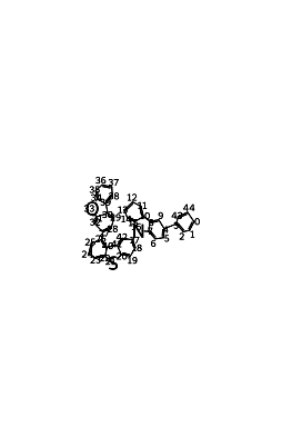 c1ccc(-c2ccc3c(c2)c2ccccc2n3-c2ccc3sc4cccc(-c5ccc6c(c5)oc5ccccc56)c4c3c2)cc1